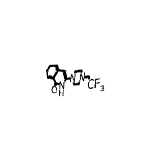 O=c1[nH]c(N2CCN(CC(F)(F)F)CC2)cc2ccccc12